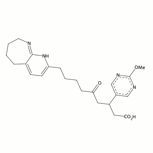 COc1ncc(C(CC(=O)O)CC(=O)CCCCC2=CC=C3CCCCN=C3N2)cn1